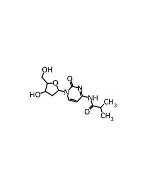 CC(C)C(=O)Nc1ccn(C2CC(O)C(CO)O2)c(=O)n1